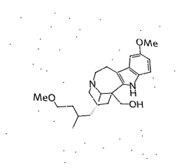 COCCC(C)C[C@@H]1CN2CCc3c([nH]c4ccc(OC)cc34)C(CO)(C1)C2C